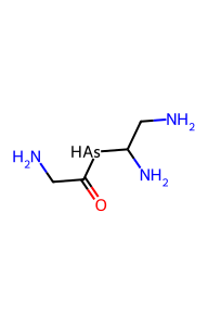 NCC(=O)[AsH]C(N)CN